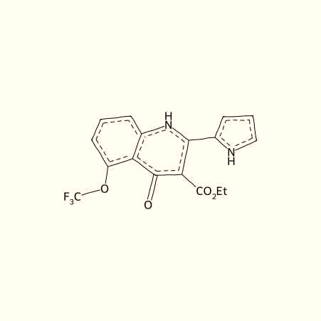 CCOC(=O)c1c(-c2ccc[nH]2)[nH]c2cccc(OC(F)(F)F)c2c1=O